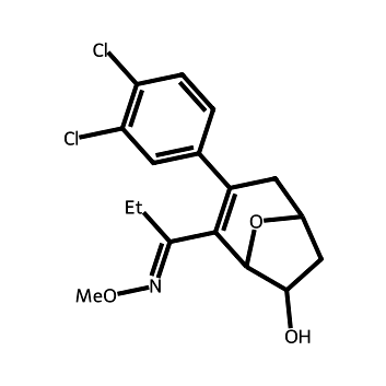 CCC(=NOC)C1=C(c2ccc(Cl)c(Cl)c2)CC2CC(O)C1O2